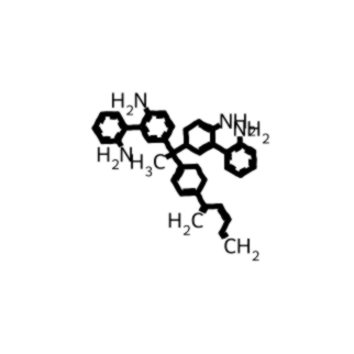 C=C/C=C\C(=C)C1=CC=C(C(C)(c2ccc(N)c(-c3ccccc3N)c2)C2C=C(c3ccccc3N)C(N)=CC2)CC1